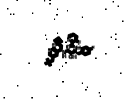 CC(C)(C)Cc1cnc2c(c1)[C@@H](NC[C@H](O)[C@H](Cc1ccc(F)cc1)NC(=O)c1ncccc1F)CC1(CCC1)O2